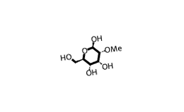 CO[C@@H]1[C@H](O)[C@H](O)[C@@H](CO)O[C@H]1O